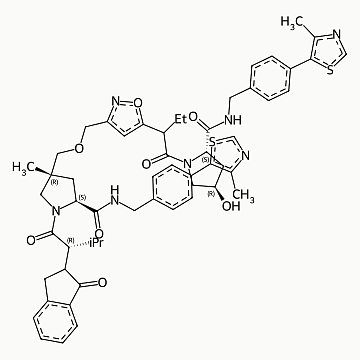 CCC(C(=O)N1C[C@H](O)C[C@H]1C(=O)NCc1ccc(-c2scnc2C)cc1)c1cc(COC[C@]2(C)C[C@@H](C(=O)NCc3ccc(-c4scnc4C)cc3)N(C(=O)[C@H](C(C)C)C3Cc4ccccc4C3=O)C2)no1